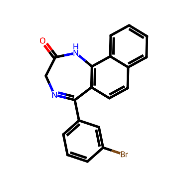 O=C1CN=C(c2cccc(Br)c2)c2ccc3ccccc3c2N1